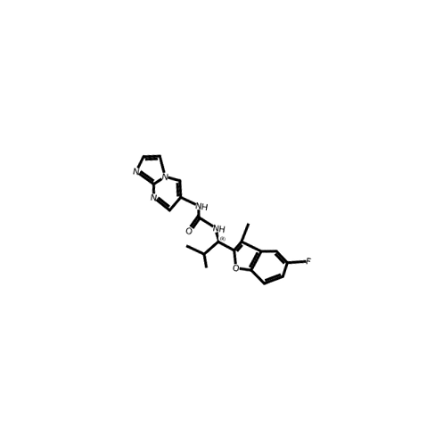 Cc1c([C@H](NC(=O)Nc2cnc3nccn3c2)C(C)C)oc2ccc(F)cc12